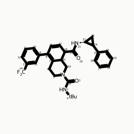 CC(C)(C)NC(=O)N1CCC2=C(c3cccc(C(F)(F)F)c3)C=CC(C(=O)N[C@@H]3CC3c3ccccc3)C2C1